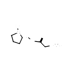 CCN1CCC[C@H]1COC(=O)COC